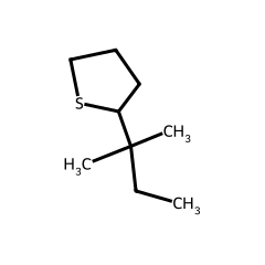 CCC(C)(C)C1CCCS1